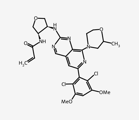 C=CC(=O)N[C@H]1COC[C@H]1Nc1ncc2cc(-c3c(Cl)c(OC)cc(OC)c3Cl)nc(N3CCOC(C)C3)c2n1